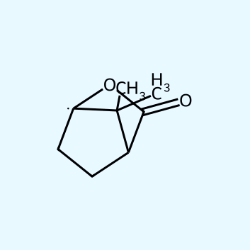 CC1(C)[C]2CCC1C(=O)O2